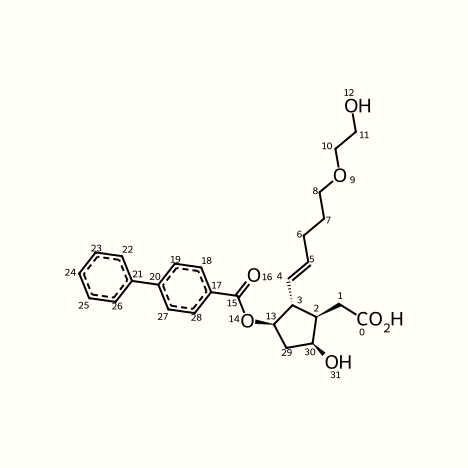 O=C(O)C[C@@H]1[C@@H](C=CCCCOCCO)[C@H](OC(=O)c2ccc(-c3ccccc3)cc2)C[C@@H]1O